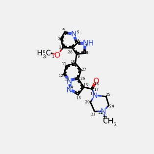 COc1ccnc2[nH]cc(-c3ccn4ncc(C(=O)N5CCN(C)CC5)c4c3)c12